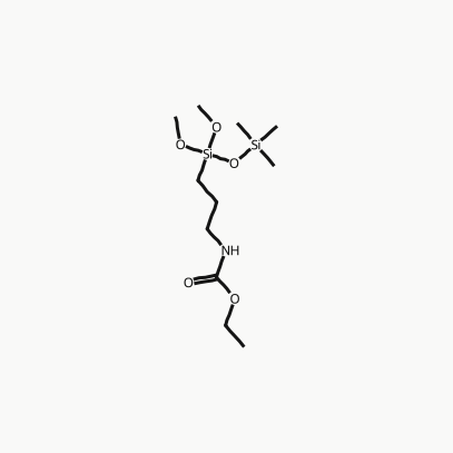 CCOC(=O)NCCC[Si](OC)(OC)O[Si](C)(C)C